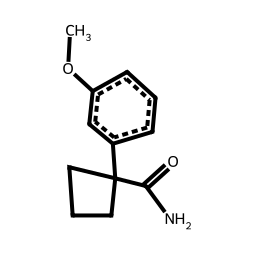 COc1cccc(C2(C(N)=O)CCC2)c1